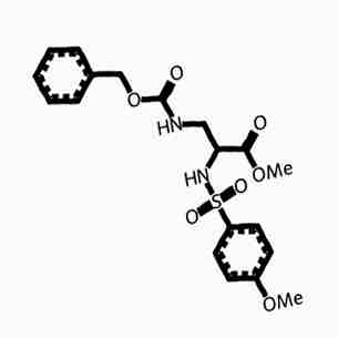 COC(=O)C(CNC(=O)OCc1ccccc1)NS(=O)(=O)c1ccc(OC)cc1